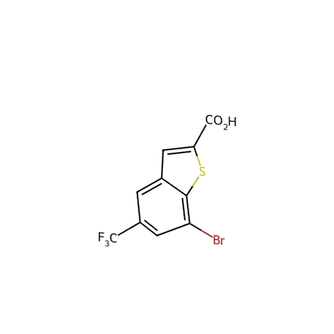 O=C(O)c1cc2cc(C(F)(F)F)cc(Br)c2s1